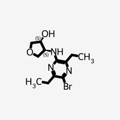 CCc1nc(N[C@H]2COC[C@H]2O)c(CC)nc1Br